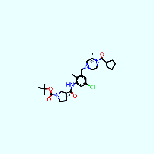 Cc1c(CN2CCN(C(=O)C3CCCC3)[C@@H](C)C2)cc(Cl)cc1NC(=O)[C@H]1CCN(C(=O)OC(C)(C)C)C1